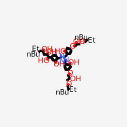 CCCCC(CC)COCC(O)COc1ccc(-c2nc(-c3ccc(OCC(O)COCC(CC)CCCC)cc3O)nc(-c3ccc(C(O)C(O)CC(O)C(CC)CCCC)cc3O)n2)c(O)c1